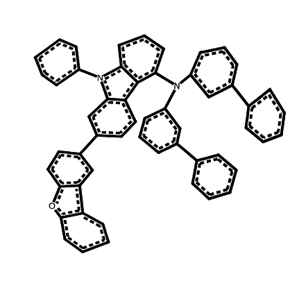 c1ccc(-c2cccc(N(c3cccc(-c4ccccc4)c3)c3cccc4c3c3ccc(-c5ccc6oc7ccccc7c6c5)cc3n4-c3ccccc3)c2)cc1